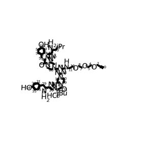 C#CCOCCOCCOCCNc1nc(N2CCN(C(=O)[C@H]([C@@H](C)CC)n3cc([C@@H](N)Cc4ccc(O)cc4)nn3)CC2)nc(N2CCN(C(=O)[C@H](Cc3ccc(O)cc3)n3cc([C@@H](N)CC(C)C)nn3)CC2)n1.Cl